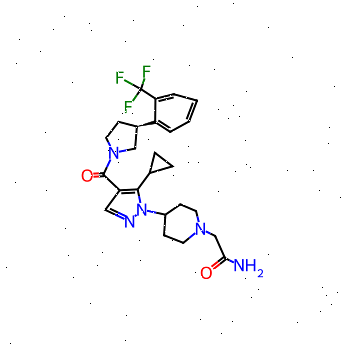 NC(=O)CN1CCC(n2ncc(C(=O)N3CC[C@@H](c4ccccc4C(F)(F)F)C3)c2C2CC2)CC1